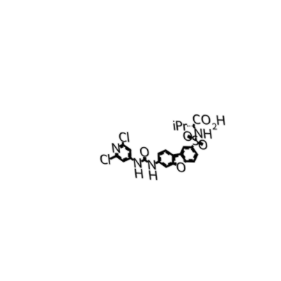 CC(C)[C@@H](NS(=O)(=O)c1ccc2oc3cc(NC(=O)Nc4cc(Cl)nc(Cl)c4)ccc3c2c1)C(=O)O